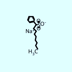 CCCCCCCCCC(c1ccccc1)S(=O)(=O)[O-].[Na+]